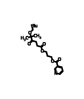 CC(C)(C)COC(C)(C)C(=O)CCC(=O)OCCCOC(=O)c1cccnc1